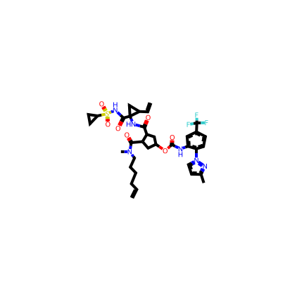 C=CCCCCN(C)C(=O)C1CC(OC(=O)Nc2cc(C(F)(F)F)ccc2-n2ccc(C)n2)CC1C(=O)NC1(C(=O)NS(=O)(=O)C2CC2)CC1C=C